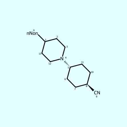 CCCCCCCCCC1CCN([C@H]2CC[C@H](C#N)CC2)CC1